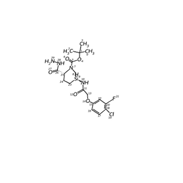 CC(C)(C)OC(=O)N1C[Si@@H](NC(=O)COc2ccc(Cl)c(F)c2)CC[C@@H]1C(=O)NN